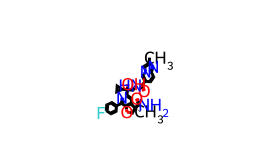 Cc1cn2cc(C(=O)NCC(O)(c3cc4c(c(-c5ccc(F)cc5)n3)OC[C@]4(C)C(N)=O)C3CC3)ccc2n1